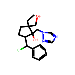 CCC1(CO)CCC(C(Cl)c2ccccc2)C1(O)Cn1cncn1